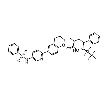 CC(C)(C)[Si](C)(C)OC(CN(C[C@H]1CCc2cc(-c3ccc(NS(=O)(=O)c4ccccc4)cn3)ccc2O1)C(=O)O)c1cccnc1